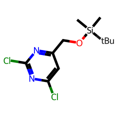 CC(C)(C)[Si](C)(C)OCc1cc(Cl)nc(Cl)n1